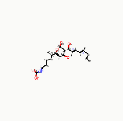 CCC/C(C)=C/C=C(\C)C(=O)[C@@H]1C(=O)C=C([C@H](C)CCC/C=N/C(=O)O)OC1=O